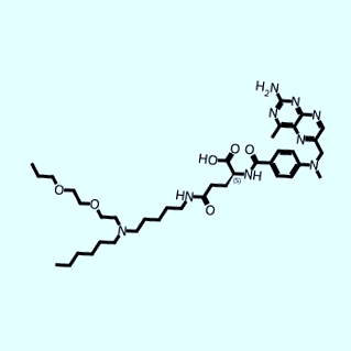 CCCCCCN(CCCCCNC(=O)CC[C@H](NC(=O)c1ccc(N(C)Cc2cnc3nc(N)nc(C)c3n2)cc1)C(=O)O)CCOCCOCCC